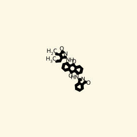 C=CC1=C(/C=C\C)C(Nc2cccc3c2C(=O)c2cccc(NC4=NC(=O)c5ccccc54)c2C3=O)=NC1=O